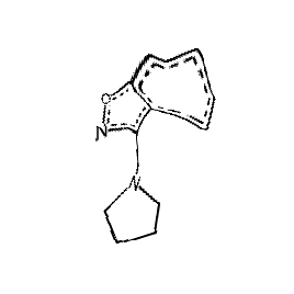 c1ccc2c(N3CCCC3)noc2c1